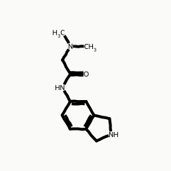 CN(C)CC(=O)Nc1ccc2c(c1)CNC2